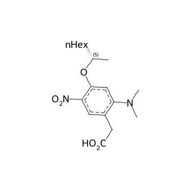 CCCCCC[C@H](C)Oc1cc(N(C)C)c(CC(=O)O)cc1[N+](=O)[O-]